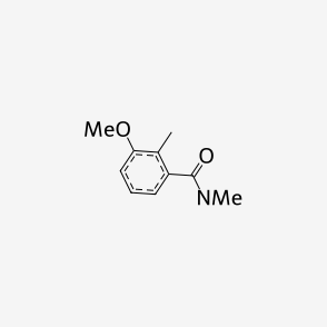 CNC(=O)c1cccc(OC)c1C